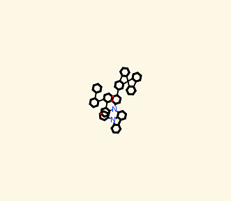 c1ccc(-c2ccccc2-c2ccccc2-c2ccccc2N(c2ccc(-c3ccc4c(c3)C3(c5ccccc5-c5ccccc53)c3ccccc3-4)cc2)c2cccc3c4ccccc4n(-c4ccccc4)c23)cc1